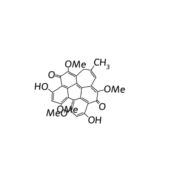 COc1c2c3c4c(c(OC)c(=O)c5c(O)cc(OC)c(c6c(OC)cc(O)c(c1=O)c63)c54)CC(C)=C2